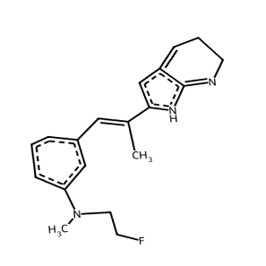 C/C(=C\c1cccc(N(C)CCF)c1)c1cc2c([nH]1)=NCCC=2